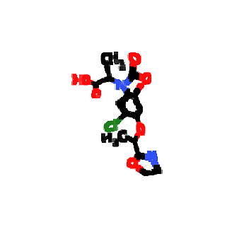 CC(Oc1cc2oc(=O)n([C@H](C)C(=O)O)c2cc1Cl)c1ncco1